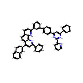 c1ccc(-c2cc(-c3ccc(-c4cccc(-c5ccc6ccc7c(-c8ccc9ccccc9c8)cc(-c8ccccc8)nc7c6n5)c4)cc3)nc(-c3ccccn3)n2)cc1